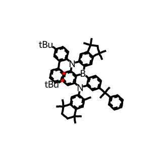 Cc1cc2c(cc1N1c3cc(C(C)(C)c4ccccc4)ccc3B3c4cc5c(cc4N(c4ccc(C(C)(C)C)cc4-c4ccccc4)c4cc(C(C)(C)C)cc1c43)C(C)(C)CC5(C)C)C(C)(C)CCC2(C)C